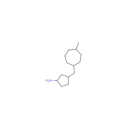 CC1CCCC(CC2CCC(N)C2)CC1